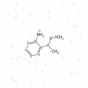 CSC(C)c1ccccc1N